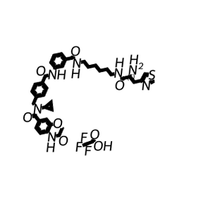 N[C@@H](Cc1cscn1)C(=O)NCCCCCCNC(=O)c1cccc(NC(=O)c2ccc(CN(C(=O)c3ccc4c(c3)OCC(=O)N4)C3CC3)cc2)c1.O=C(O)C(F)(F)F